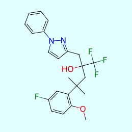 COc1ccc(F)cc1C(C)(C)CC(O)(Cc1ccn(-c2ccccc2)n1)C(F)(F)F